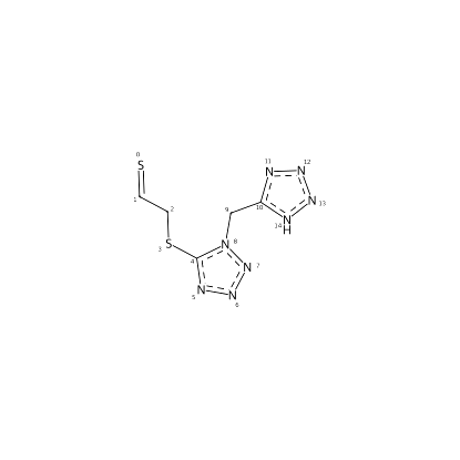 S=CCSc1nnnn1Cc1nnn[nH]1